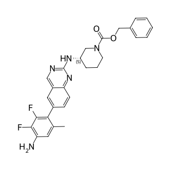 Cc1cc(N)c(F)c(F)c1-c1ccc2nc(N[C@H]3CCCN(C(=O)OCc4ccccc4)C3)ncc2c1